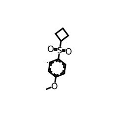 COc1c[c]c(S(=O)(=O)C2CCC2)cc1